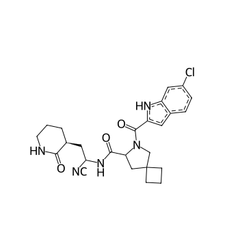 N#CC(C[C@@H]1CCCNC1=O)NC(=O)C1CC2(CCC2)CN1C(=O)c1cc2ccc(Cl)cc2[nH]1